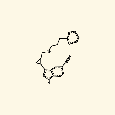 N#Cc1ccc2[nH]cc(C3CC3CNCCCc3ccccc3)c2c1